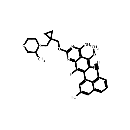 C#Cc1cccc2cc(O)cc(-c3c(F)c(OC)c4c(N)nc(OCC5(CN6CCOCC6C)CC5)nc4c3F)c12